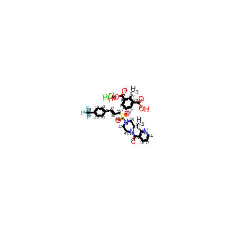 Cc1c(C(=O)O)cccc1C(=O)O.Cc1ncccc1C(=O)N1CCN(S(=O)(=O)CC=Cc2ccc(C(F)(F)F)cc2)CC1.Cl